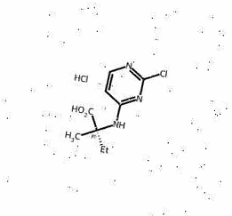 CC[C@@](C)(Nc1ccnc(Cl)n1)C(=O)O.Cl